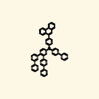 c1ccc(-c2ccc(-c3cc(N(c4ccc(-c5ccccc5)cc4)c4ccc(-c5cc6ccccc6c6ccccc56)cc4)ccc3-c3cccc(-c4ccccc4)c3)cc2)cc1